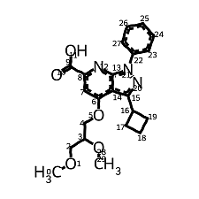 COCC(COc1cc(C(=O)O)nc2c1c(C1CCC1)nn2-c1ccccc1)OC